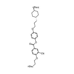 CCCCCCCCCCCCOc1ccc(C(=O)Oc2ccc(OCCC[C@H]3CC[C@H](CCCCC)CC3)cc2)cc1C#N